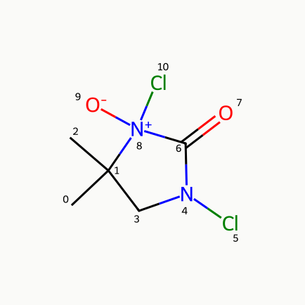 CC1(C)CN(Cl)C(=O)[N+]1([O-])Cl